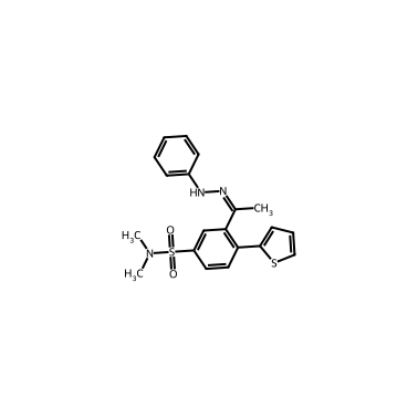 CC(=NNc1ccccc1)c1cc(S(=O)(=O)N(C)C)ccc1-c1cccs1